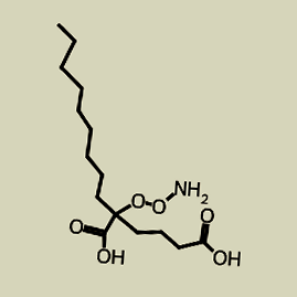 CCCCCCCCCC(CCCC(=O)O)(OON)C(=O)O